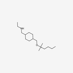 CCCC[Si](C)(C)OCC1CCC(CNCC)CC1